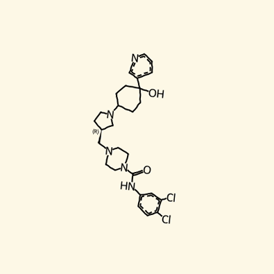 O=C(Nc1ccc(Cl)c(Cl)c1)N1CCN(C[C@H]2CCN(C3CCC(O)(c4cccnc4)CC3)C2)CC1